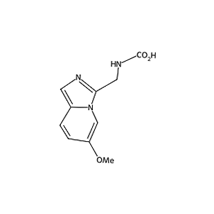 COc1ccc2cnc(CNC(=O)O)n2c1